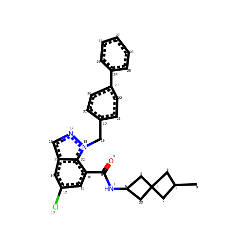 CC1CC2(C1)CC(NC(=O)c1cc(Cl)cc3cnn(Cc4ccc(-c5ccccc5)cc4)c13)C2